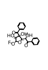 O=C(c1ccccc1)C(O)[C@H]1OC(OF)[C@H](O)[C@@]1(O)C(=O)c1ccccc1